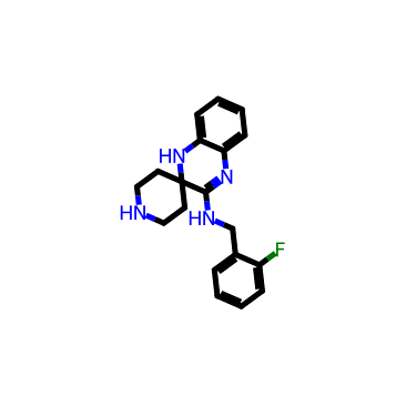 Fc1ccccc1CNC1=Nc2ccccc2NC12CCNCC2